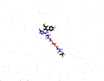 Cc1sc2c(c1C)C(c1ccc(Cl)cc1)=N[C@H](CC(=O)NCCOCCOCCNC(=O)OC(C)(C)C)c1nnc(C)n1-2